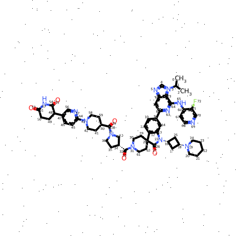 CC(C)n1cnc2cc(-c3ccc4c(c3)N([C@H]3C[C@@H](N5CCCCC5)C3)C(=O)C43CCN(C(=O)[C@@H]4CCN(C(=O)C5CCN(c6ccc(C7CCC(=O)NC7=O)cn6)CC5)C4)CC3)nc(Nc3ccncc3F)c21